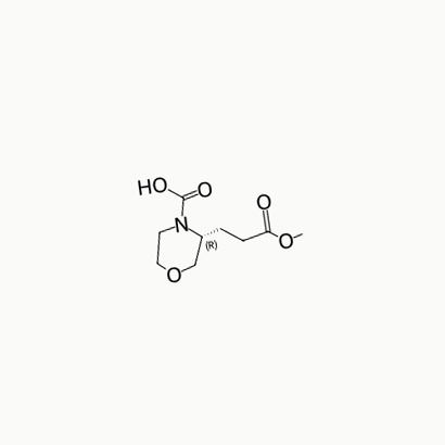 COC(=O)CC[C@@H]1COCCN1C(=O)O